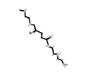 COCCOCC(Br)[CH]CC(Br)OCCOCCO